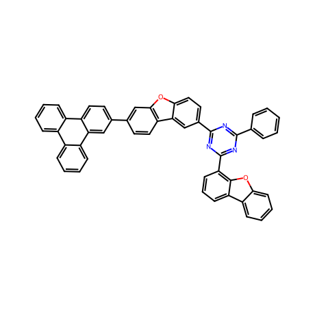 c1ccc(-c2nc(-c3ccc4oc5cc(-c6ccc7c8ccccc8c8ccccc8c7c6)ccc5c4c3)nc(-c3cccc4c3oc3ccccc34)n2)cc1